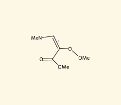 CN/C=C(/OOC)C(=O)OC